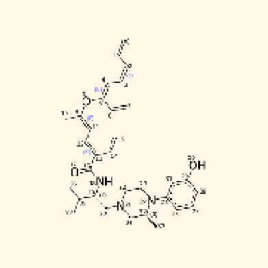 C=C/C=C\C=C(/C=C)O/C(C)=C/C=C(\C=C)C(=O)N[C@H](CN1CCN(c2cccc(O)c2)[C@@H](C)C1)C(C)C